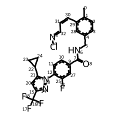 Cc1ccc(CNC(=O)c2ccc(-n3nc(C(F)(F)F)cc3C3CC3)c(F)c2)cc1/C=C\C=NCl